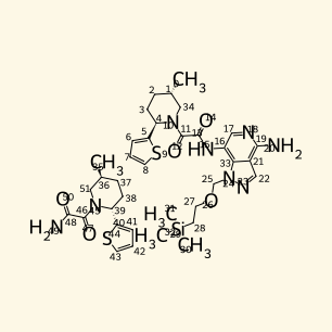 C[C@H]1CC[C@H](c2cccs2)N(C(=O)C(=O)Nc2cnc(N)c3cnn(COCC[Si](C)(C)C)c23)C1.C[C@H]1CC[C@H](c2cccs2)N(C(=O)C(N)=O)C1